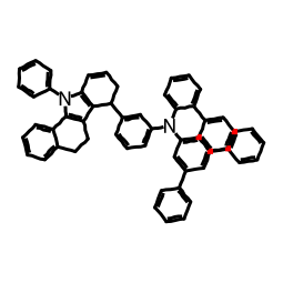 C1=Cc2c(c3c(n2-c2ccccc2)-c2ccccc2CC3)C(c2cccc(N(c3cc(-c4ccccc4)cc(-c4ccccc4)c3)c3ccccc3-c3ccccc3)c2)C1